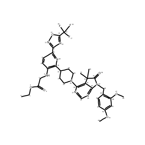 CCOC(=O)CNc1ccc(-c2noc(C(F)(F)F)n2)nc1C1CCN(c2ncnc3c2C(C)(C)C(=O)N3Cc2ccc(OC)cc2OC)CC1